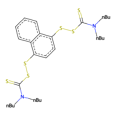 CCCCN(CCCC)C(=S)SSc1ccc(SSC(=S)N(CCCC)CCCC)c2ccccc12